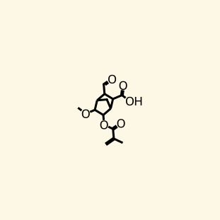 C=C(C)C(=O)OC1C2CC(C(C=O)C2C(=O)O)C1OC